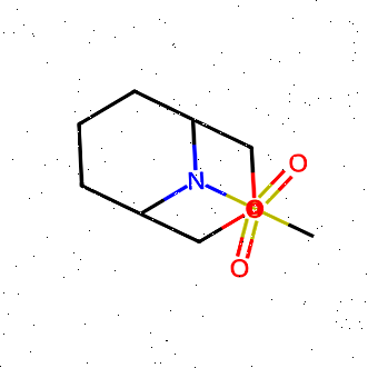 CS(=O)(=O)N1C2CCCC1COC2